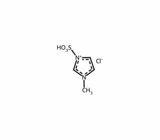 Cn1cc[n+](S(=O)(=O)O)c1.[Cl-]